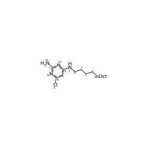 CCCCCCCCCCCCNc1cc(Cl)nc(N)n1